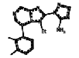 CCn1c(-n2ncnc2N)nc2cncc(-c3cccc(C)c3C)c21